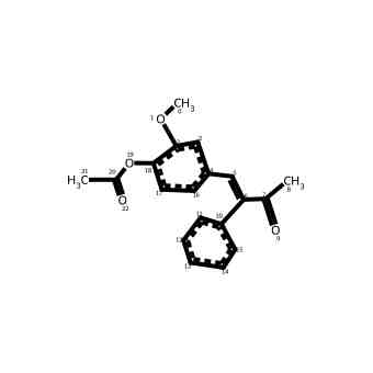 COc1cc(/C=C(/C(C)=O)c2ccccc2)ccc1OC(C)=O